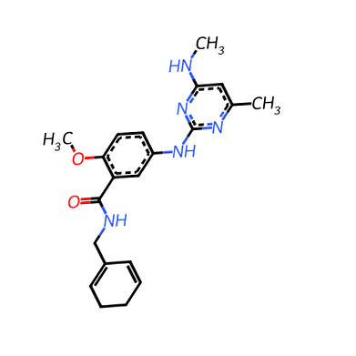 CNc1cc(C)nc(Nc2ccc(OC)c(C(=O)NCC3=CCCC=C3)c2)n1